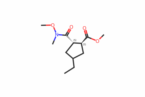 CCC1C[C@H](C(=O)OC)[C@@H](C(=O)N(C)OC)C1